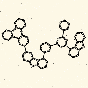 c1ccc(-c2nc(-c3cccc(-c4cccc5oc6ccc(-c7ccc8c9ccccc9c9ccccc9c8c7)cc6c45)c3)nc(-c3cccc4oc5ccccc5c34)n2)cc1